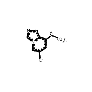 O=C(O)Nc1cc(Br)cn2cnnc12